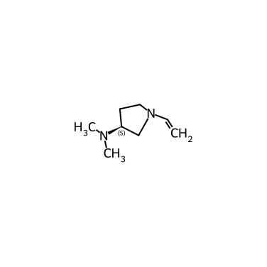 C=CN1CC[C@H](N(C)C)C1